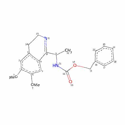 COc1cc2c(cc1OC)C(C(C)NC(=O)OCc1ccccc1)=NCC2